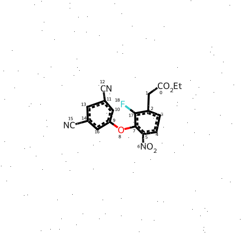 CCOC(=O)Cc1ccc([N+](=O)[O-])c(Oc2cc(C#N)cc(C#N)c2)c1F